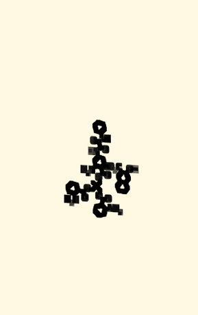 CC(COC(=O)c1ccccc1N)(COC(=O)c1ccccc1N)COC(=O)c1ccc(NC(=O)C(=O)Nc2ccccc2)cc1N.O=C(O)c1cc2ccccc2cc1O